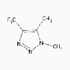 Cc1c(C(F)(F)F)nnn1C